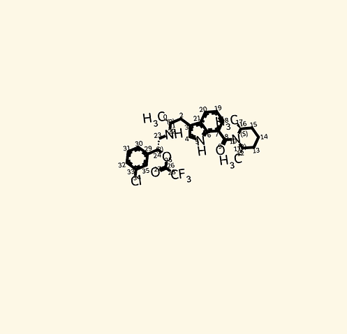 C[C@H](Cc1c[nH]c2c(C(=O)N3[C@H](C)CCC[C@@H]3C)cccc12)NC[C@H](OC(=O)C(F)(F)F)c1cccc(Cl)c1